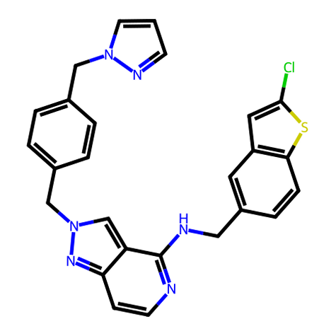 Clc1cc2cc(CNc3nccc4nn(Cc5ccc(Cn6cccn6)cc5)cc34)ccc2s1